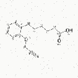 C#CCOc1ccccc1CCCCCC(=O)O